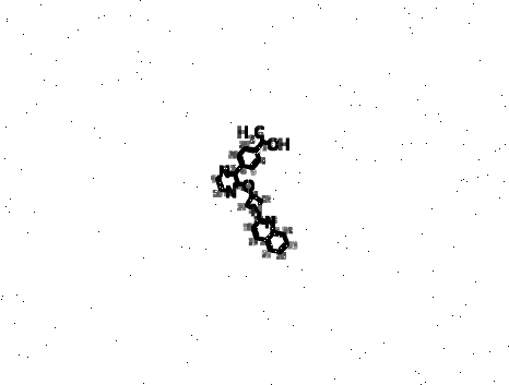 CC(O)c1ccc(-c2nccnc2OC2CN(c3ccc4ccccc4n3)C2)cc1